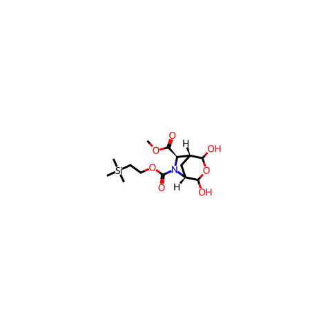 COC(=O)[C@H]1[C@H]2C[C@H](C(O)OC2O)N1C(=O)OCC[Si](C)(C)C